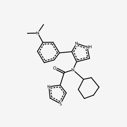 CN(C)c1cccc(-c2n[nH]cc2N(C(=O)c2cscn2)C2CCCCC2)c1